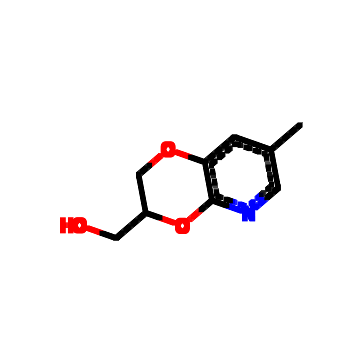 Cc1cnc2c(c1)OCC(CO)O2